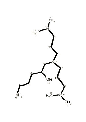 CN(C)CCCN(CCCN(C)C)CC(O)CCCN